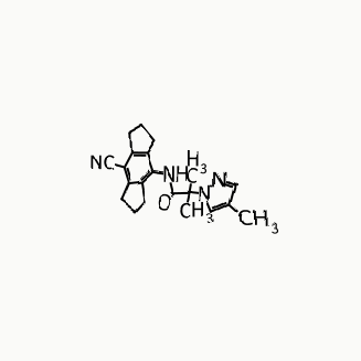 Cc1cnn(C(C)(C)C(=O)Nc2c3c(c(C#N)c4c2CCC4)CCC3)c1